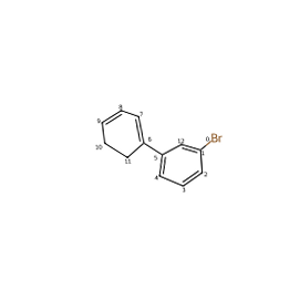 Brc1cccc(C2=CC=CCC2)c1